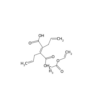 C=CC/C(C(=O)O)=C(/CC=C)C(=O)O.C=COC(C)=O